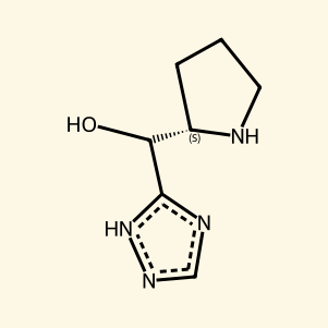 OC(c1ncn[nH]1)[C@@H]1CCCN1